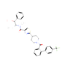 CC(C(O)c1ccccc1)N(C)C(=O)c1csc(C2CCN(C(=O)c3ccccc3-c3ccc(C(F)(F)F)cc3)CC2)n1